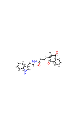 CC1=C(CCCC(=O)NCCc2c[nH]c3ccccc23)C(=O)c2ccccc2C1=O